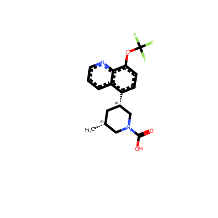 C[C@@H]1C[C@H](c2ccc(OC(F)(F)F)c3ncccc23)CN(C(=O)O)C1